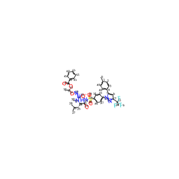 Cc1ccc(-c2cc(C(F)(F)F)nn2-c2ccc(S(=O)(=O)NC(=O)[C@H](CC(C)C)N(C)/[N+]([O-])=N\OC(C)OC(=O)c3ccccc3)cc2)cc1